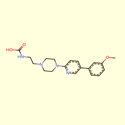 COc1cccc(-c2ccc(N3CCN(CCNC(=O)O)CC3)nc2)c1